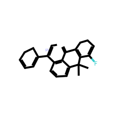 C=C1C2=C(C(F)=CCC2)C(C)(C)c2cccc(/C(=C\C)C3=CC=CCC3)c21